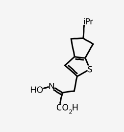 CC(C)C1Cc2cc(CC(=NO)C(=O)O)sc2C1